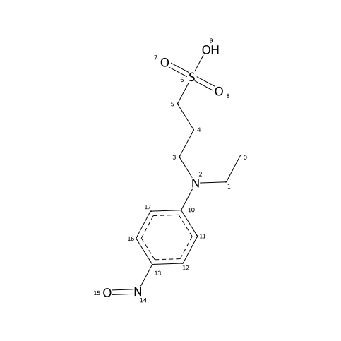 CCN(CCCS(=O)(=O)O)c1ccc(N=O)cc1